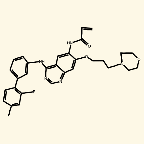 C=CC(=O)Nc1cc2c(Nc3cccc(-c4ccc(C)cc4F)c3)ncnc2cc1OCCCN1CCOCC1